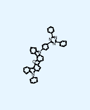 c1ccc(-c2nc(-c3ccccc3)nc(-c3ccc(-n4c5ccccc5c5c6oc7c(ccc8c7c7ccccc7n8-c7ccccc7)c6ccc54)cc3)n2)cc1